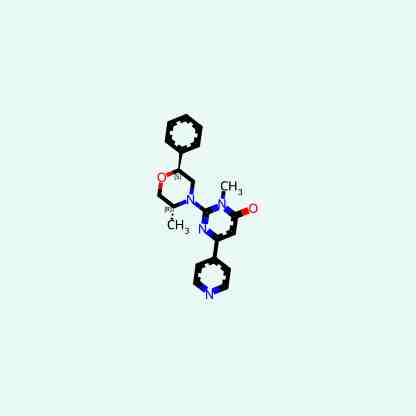 C[C@@H]1CO[C@@H](c2ccccc2)CN1c1nc(-c2ccncc2)cc(=O)n1C